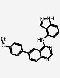 CCOc1ccc(-c2ccc3ncnc(Nc4cccc5[nH]ncc45)c3c2)cc1